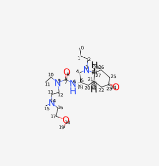 CCCN1C[C@@H](NC(=O)N(CC)CCN(C)CCOC)C[C@@H]2CC(=O)CC[C@H]21